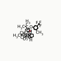 Cc1cc(Oc2nc(N[C@@H]3[C@@H]4CC[C@H]3CN(C(=O)OC(C)(C)C)C4)nn2C(C)C)cc(C(F)(F)F)c1